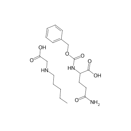 CCCCCNCC(=O)O.NC(=O)CCC(NC(=O)OCc1ccccc1)C(=O)O